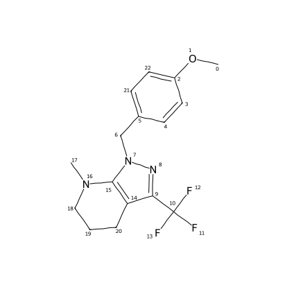 COc1ccc(Cn2nc(C(F)(F)F)c3c2N(C)CCC3)cc1